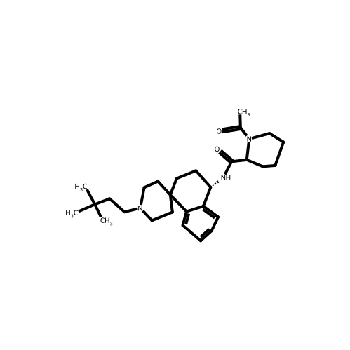 CC(=O)N1CCCCC1C(=O)N[C@H]1CCC2(CCN(CCC(C)(C)C)CC2)c2ccccc21